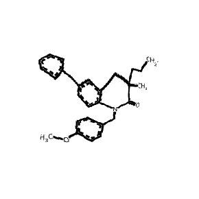 [CH2]CCC1(C)Cc2cc(-c3ccccc3)ccc2N(Cc2ccc(OC)cc2)C1=O